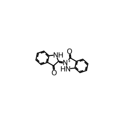 O=C1C(=[N+]2Nc3ccccc3C2=O)Nc2ccccc21